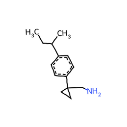 CCC(C)c1ccc(C2(CN)CC2)cc1